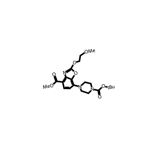 COCCOc1nc2c(C(=O)OC)ccc(N3CCN(C(=O)OC(C)(C)C)CC3)c2o1